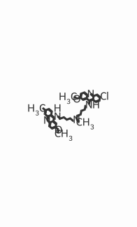 COc1ccc2nc3cc(C)ccc3c(NCCCCCN(C)CCCCCNc3c4ccc(Cl)cc4nc4ccc(OC)cc34)c2c1